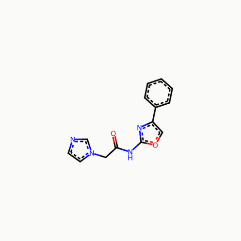 O=C(Cn1ccnc1)Nc1nc(-c2ccccc2)co1